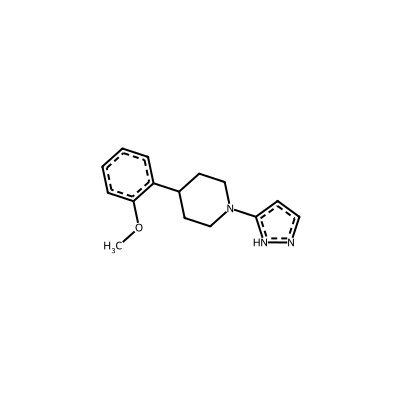 COc1ccccc1C1CCN(c2ccn[nH]2)CC1